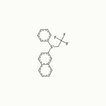 FC(F)(F)C[S+](c1ccccc1)c1ccc2ccccc2c1